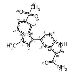 Cn1nc(-c2cnc3[nH]cc(C(N)=O)c3n2)c2cc(S(C)(=O)=O)ccc21